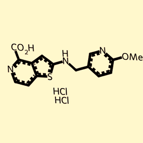 COc1ccc(CNc2cc3c(C(=O)O)nccc3s2)cn1.Cl.Cl